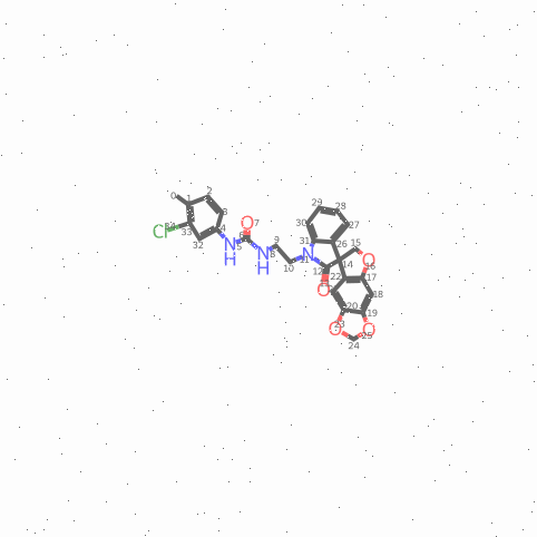 Cc1ccc(NC(=O)NCCN2C(=O)C3(COc4cc5c(cc43)OCO5)c3ccccc32)cc1Cl